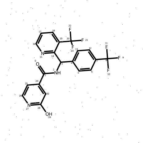 O=C(NC(c1ccc(C(F)(F)F)cc1)c1ncccc1C(F)(F)F)c1ccnc(O)c1